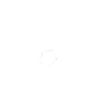 CC1CNCC1(C)C(=O)O